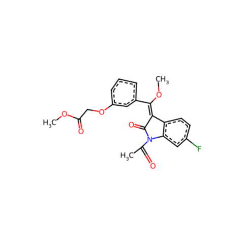 COC(=O)COc1cccc(C(OC)=C2C(=O)N(C(C)=O)c3cc(F)ccc32)c1